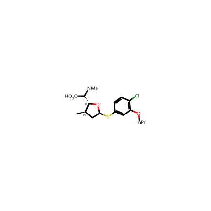 CCCOc1cc(SC2C[C@@H](C)[C@H](C(NC)C(=O)O)O2)ccc1Cl